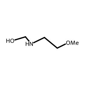 COCCNCO